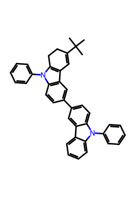 CC(C)(C)C1=Cc2c(n(-c3ccccc3)c3ccc(-c4ccc5c(c4)c4ccccc4n5-c4ccccc4)cc23)CC1